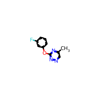 Cc1cnnc(Oc2cccc(F)c2)n1